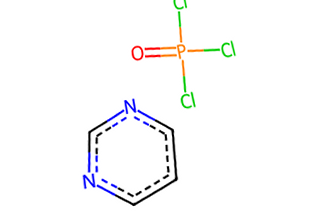 O=P(Cl)(Cl)Cl.c1cncnc1